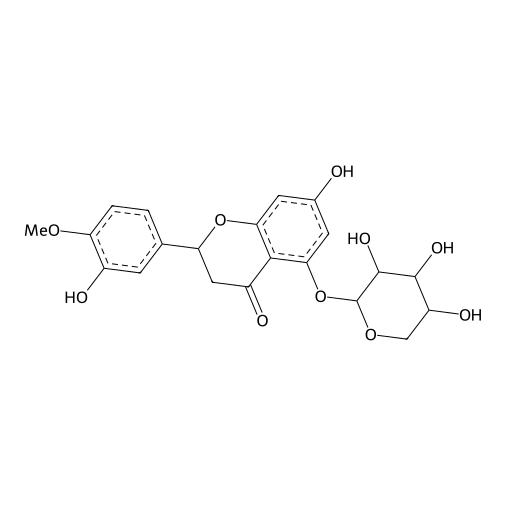 COc1ccc(C2CC(=O)c3c(cc(O)cc3OC3OCC(O)C(O)C3O)O2)cc1O